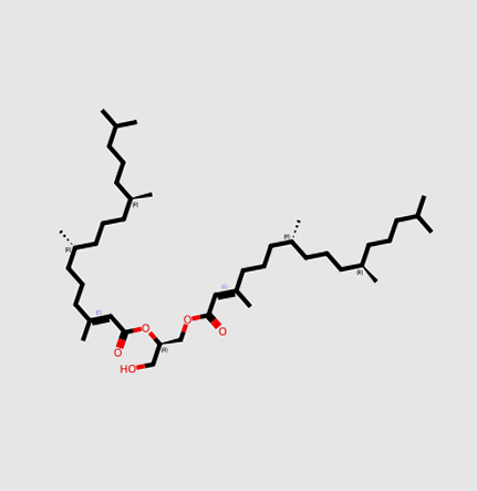 C/C(=C\C(=O)OC[C@@H](CO)OC(=O)/C=C(\C)CCC[C@H](C)CCC[C@H](C)CCCC(C)C)CCC[C@H](C)CCC[C@H](C)CCCC(C)C